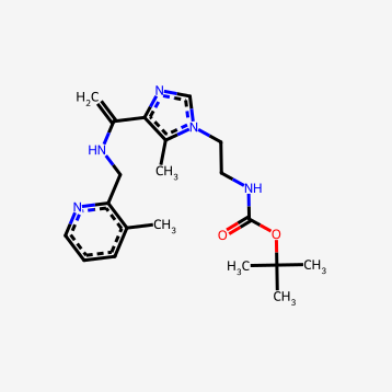 C=C(NCc1ncccc1C)c1ncn(CCNC(=O)OC(C)(C)C)c1C